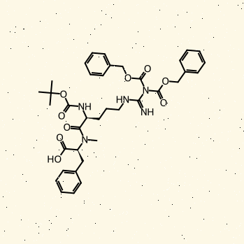 CN(C(=O)[C@H](CCCNC(=N)N(C(=O)OCc1ccccc1)C(=O)OCc1ccccc1)NC(=O)OC(C)(C)C)[C@@H](Cc1ccccc1)C(=O)O